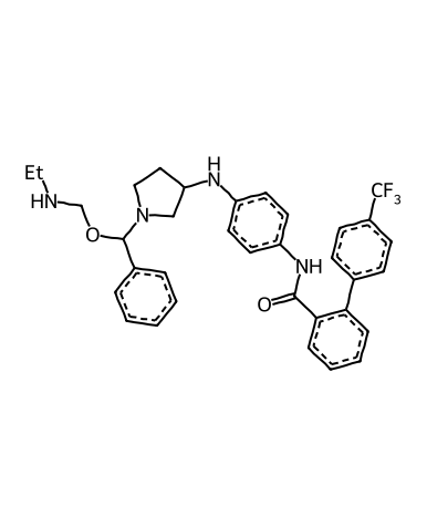 CCNCOC(c1ccccc1)N1CCC(Nc2ccc(NC(=O)c3ccccc3-c3ccc(C(F)(F)F)cc3)cc2)C1